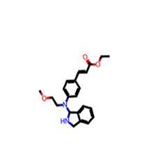 CCOC(=O)C=Cc1ccc(N(CCOC)C2NCc3ccccc32)cc1